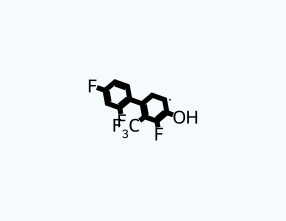 OC1=C(F)C(C(F)(F)F)=C(c2ccc(F)cc2F)C[CH]1